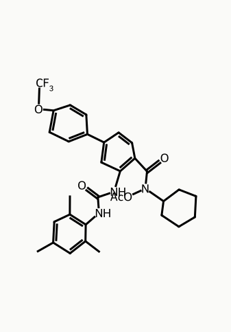 CC(=O)ON(C(=O)c1ccc(-c2ccc(OC(F)(F)F)cc2)cc1NC(=O)Nc1c(C)cc(C)cc1C)C1CCCCC1